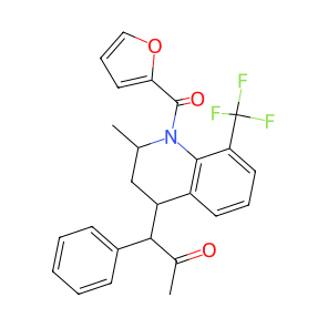 CC(=O)C(c1ccccc1)C1CC(C)N(C(=O)c2ccco2)c2c1cccc2C(F)(F)F